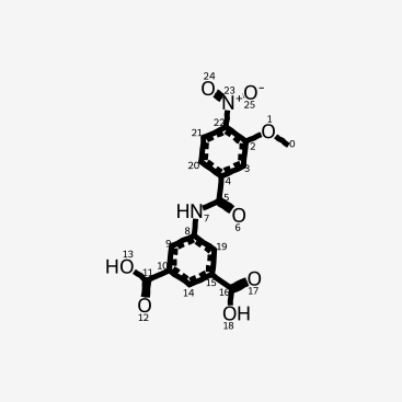 COc1cc(C(=O)Nc2cc(C(=O)O)cc(C(=O)O)c2)ccc1[N+](=O)[O-]